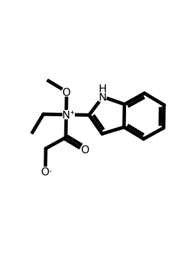 CC[N+](OC)(C(=O)C[O])c1cc2ccccc2[nH]1